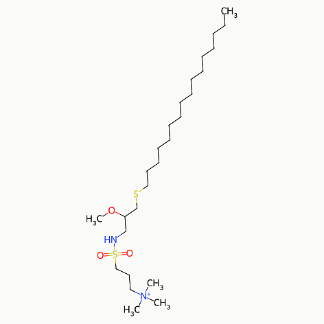 CCCCCCCCCCCCCCCCSCC(CNS(=O)(=O)CCC[N+](C)(C)C)OC